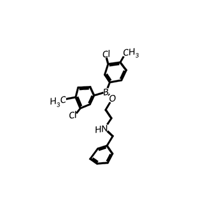 Cc1ccc(B(OCCNCc2ccccc2)c2ccc(C)c(Cl)c2)cc1Cl